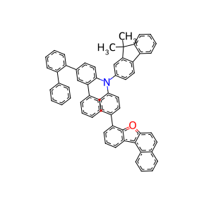 CC1(C)c2ccccc2-c2ccc(N(c3ccc(-c4cccc5c4oc4ccc6ccccc6c45)cc3)c3ccc(-c4ccccc4-c4ccccc4)cc3-c3ccccc3)cc21